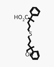 CC(CO)(CCCSCCCC(C)(C(=O)O)c1ccccc1)c1ccccc1